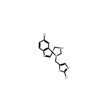 Clc1ccc2c(c1)[C@]1(C=N2)CNCN1Cc1cnc(Cl)s1